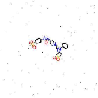 CS(=O)(=O)c1ccc(NC(=O)CC2CCN(CCN(c3ccccc3)C3CCS(=O)(=O)C3)CC2)cc1